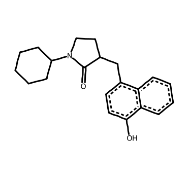 O=C1C(Cc2ccc(O)c3ccccc23)CCN1C1CCCCC1